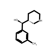 Cc1cccc([C@@H](O)[C@H]2CBCCC2)c1